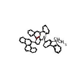 CC1(C)c2ccccc2-c2ccc(N(c3ccc(-c4cc5ccccc5c5ccc6ccccc6c45)cc3)c3ccccc3-c3ccc4ccccc4c3)cc21